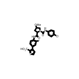 COC1CC(C(=O)Nc2ccc(-c3ccsc3C(=O)O)cc2F)N(C(=O)Nc2ccc(Cl)cc2)C1